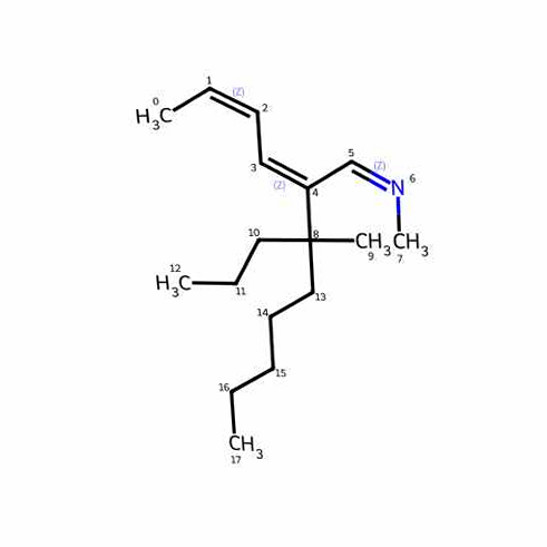 C\C=C/C=C(\C=N/C)C(C)(CCC)CCCCC